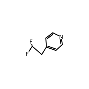 FC(F)Cc1ccncc1